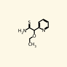 CCOC(C(N)=S)c1ccccn1